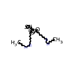 CCCCC/C=C\C/C=C\CCCCCCCC(=O)OCC(CN1CCSCC1)OC(=O)CCCCCCC/C=C\C/C=C\CCCCC